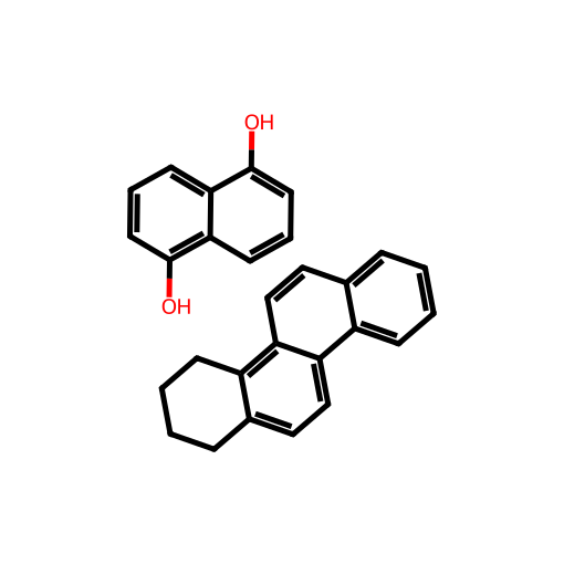 Oc1cccc2c(O)cccc12.c1ccc2c(c1)ccc1c3c(ccc12)CCCC3